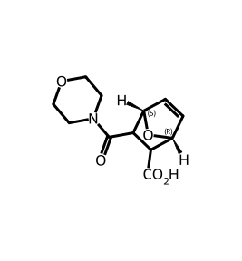 O=C(O)C1C(C(=O)N2CCOCC2)[C@@H]2C=C[C@H]1O2